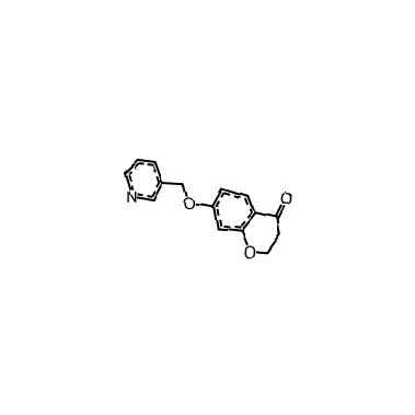 O=C1CCOc2cc(OCc3cccnc3)ccc21